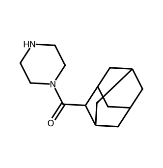 O=C(C1C2CC3CC(C2)CC1C3)N1CCNCC1